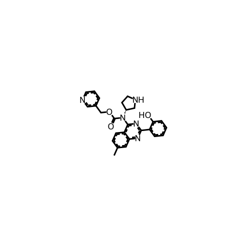 Cc1ccc2c(N(C(=O)OCc3cccnc3)[C@@H]3CCNC3)nc(-c3ccccc3O)nc2c1